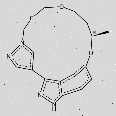 C[C@@H]1CCOCCCn2cc(cn2)-c2n[nH]c3ccc(cc23)O1